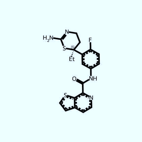 CC[C@@]1(c2cc(NC(=O)c3nccc4ccsc34)ccc2F)CCN=C(N)S1